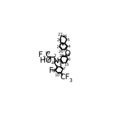 OC(CN(Cc1ccc(C(F)(F)F)cc1F)c1cccc(Oc2ccc3c(c2)CCCC3)c1)C(F)(F)F